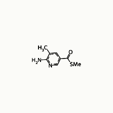 CSC(=O)c1cnc(N)c(C)c1